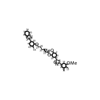 COc1ccc(C2CC(c3cc(C)c(C)c(OC)c3)=NO2)cc1OCCCCCCOc1cc(-c2nc3ccccc3s2)ccc1C